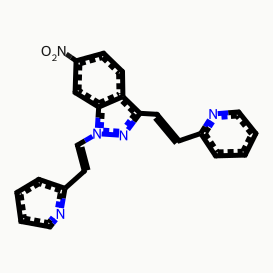 O=[N+]([O-])c1ccc2c(/C=C/c3ccccn3)nn(/C=C/c3ccccn3)c2c1